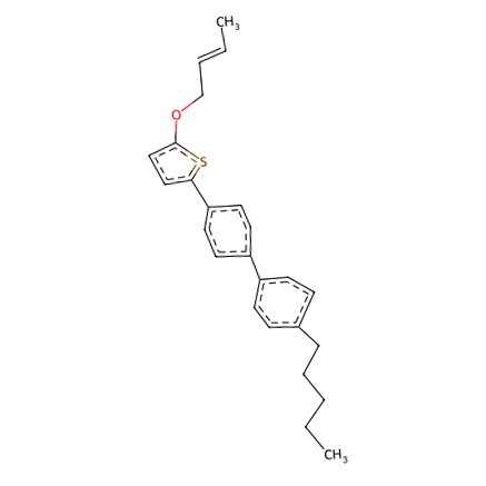 CC=CCOc1ccc(-c2ccc(-c3ccc(CCCCC)cc3)cc2)s1